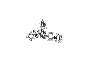 Cn1cc(-c2cn(S(=O)(=O)c3ccccc3)c3ncc([C@H]4CC[C@@H](N5CCOCC5)CC4)nc23)cn1